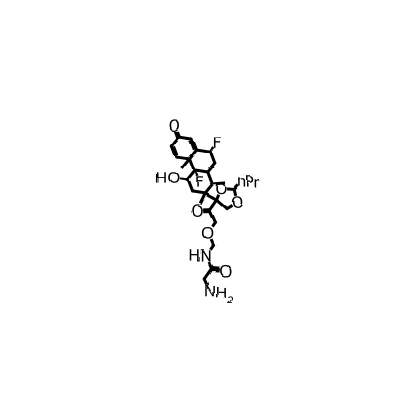 CCCC1OCC(C(=O)COCNC(=O)CN)(C2(C)CC(O)[C@@]3(F)C(C[C@H](F)C4=CC(=O)C=CC43C)C2C)O1